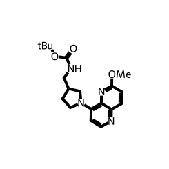 COc1ccc2nccc(N3CCC(CNC(=O)OC(C)(C)C)C3)c2n1